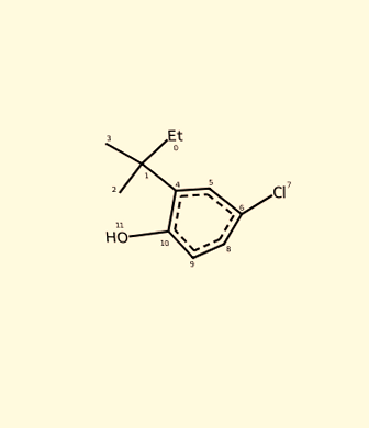 CCC(C)(C)c1cc(Cl)ccc1O